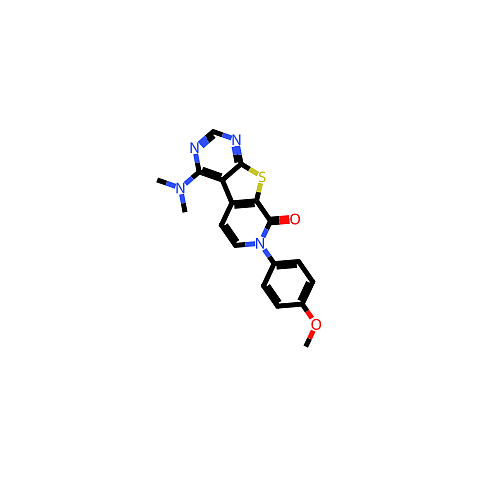 COc1ccc(-n2ccc3c(sc4ncnc(N(C)C)c43)c2=O)cc1